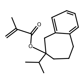 C=C(C)C(=O)OC1(C(C)C)CCCc2ccccc2C1